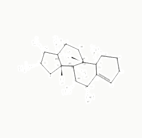 CC[C@H]1[C@@H](C)C[C@H]2[C@@H]3[C@@H](O)[C@@H](O)C4=CCCC[C@]4(C)[C@@]3(Br)CC[C@@]21C